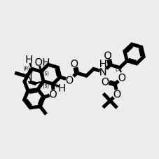 Cc1ccc2c3c1O[C@H]1C(OC(=O)CCNC(=O)[C@@H](OC(=O)OC(C)(C)C)c4ccccc4)=CC[C@@]4(O)[C@@H](C2)N(C)CC[C@]314